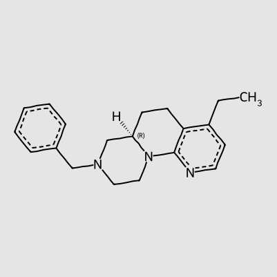 CCc1ccnc2c1CC[C@@H]1CN(Cc3ccccc3)CCN21